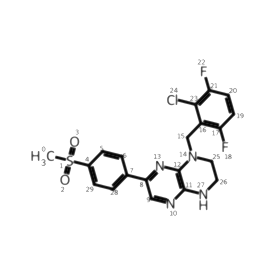 CS(=O)(=O)c1ccc(-c2cnc3c(n2)N(Cc2c(F)ccc(F)c2Cl)CCN3)cc1